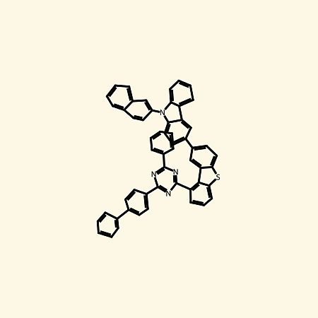 c1ccc(-c2ccc(-c3nc(-c4ccccc4)nc(-c4cccc5sc6ccc(-c7ccc8c(c7)c7ccccc7n8-c7ccc8ccccc8c7)cc6c45)n3)cc2)cc1